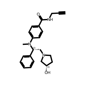 C#CCNC(=O)c1ccc(N(C)[C@H](CN2CC[C@H](O)C2)c2ccccc2)cc1